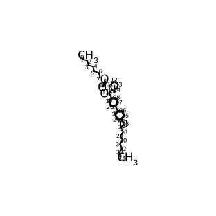 CCCCCCCCOC(=O)[C@@H]1CCCN1C(=O)c1ccc(-c2ccc(OCCCCCCCC)cc2)cc1